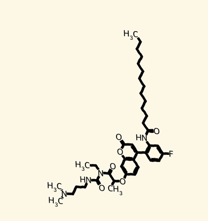 CCCCCCCCCCCCCC(=O)Nc1cc(F)ccc1-c1cc(=O)oc2cc(OC(C)C(=O)N(CC)C(=O)NCCCN(C)C)ccc12